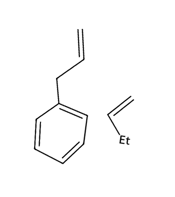 C=CCC.C=CCc1ccccc1